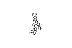 CCOC(=O)c1nc(C2=C(c3cc(C(F)(F)F)ccc3OCc3cc(F)c(F)cc3F)CCC2)ccc1C